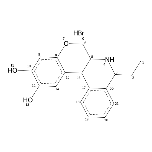 Br.CCC1NC2COc3cc(O)c(O)cc3C2c2ccccc21